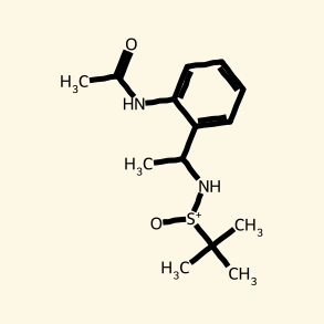 CC(=O)Nc1ccccc1C(C)N[S+]([O-])C(C)(C)C